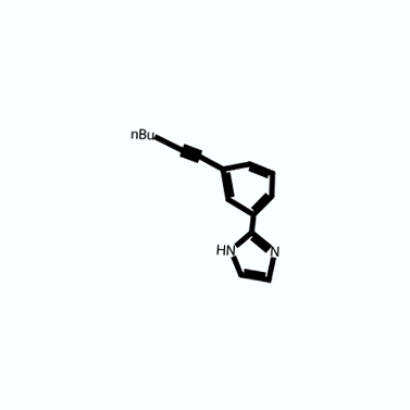 CCCCC#Cc1cccc(-c2ncc[nH]2)c1